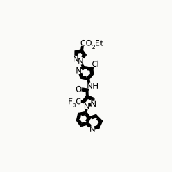 CCOC(=O)c1cnn(-c2ncc(NC(=O)c3cnn(-c4cccc5ncccc45)c3C(F)(F)F)cc2Cl)c1